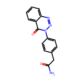 NC(=O)Cc1ccc(-n2nnc3ccccc3c2=O)cc1